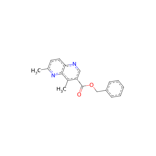 Cc1ccc2ncc(C(=O)OCc3ccccc3)c(C)c2n1